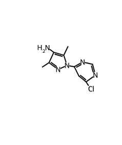 Cc1nn(-c2cc(Cl)ncn2)c(C)c1N